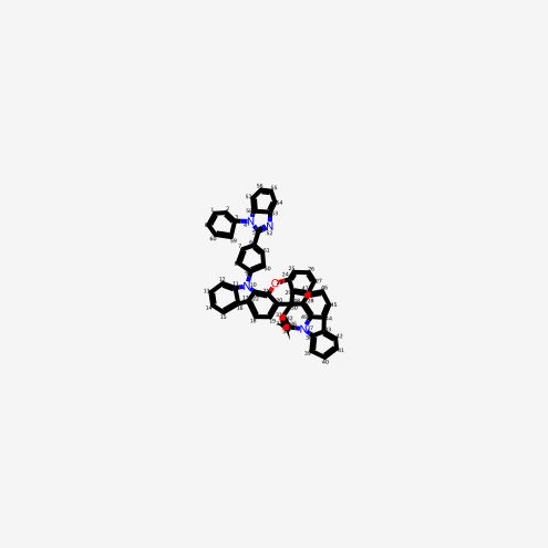 c1ccc(-n2c(-c3ccc(-n4c5ccccc5c5ccc6c(c54)Oc4ccccc4C64c5ccccc5-n5c6ccccc6c6cccc4c65)cc3)nc3ccccc32)cc1